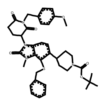 COc1ccc(CN2C(=O)CCC(n3c(=O)n(C)c4c(SCc5ccccc5)c(C5CCN(C(=O)OC(C)(C)C)CC5)ccc43)C2=O)cc1